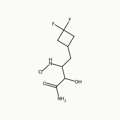 NC(=O)C(O)C(CC1CC(F)(F)C1)NCl